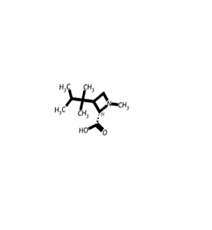 CC(C)C(C)(C)C1CN(C)[C@@H]1C(=O)O